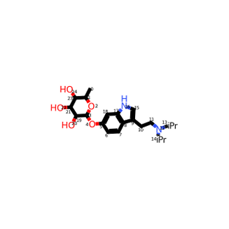 CC1OC(Oc2ccc3c(CCN(C(C)C)C(C)C)c[nH]c3c2)C(O)C(O)C1O